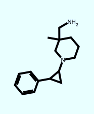 CC1(CN)CCCN(C2CC2c2ccccc2)C1